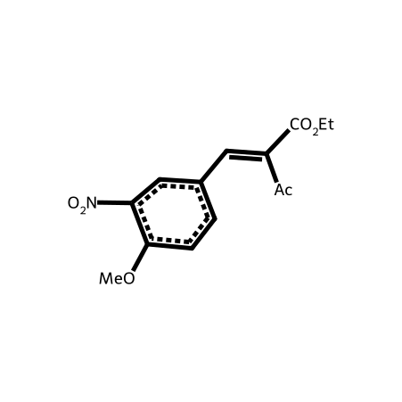 CCOC(=O)C(=Cc1ccc(OC)c([N+](=O)[O-])c1)C(C)=O